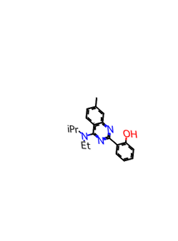 CCN(c1nc(-c2ccccc2O)nc2cc(C)ccc12)C(C)C